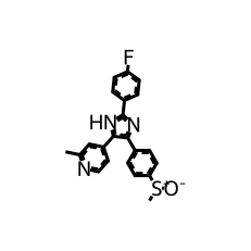 Cc1cc(-c2[nH]c(-c3ccc(F)cc3)nc2-c2ccc([S+](C)[O-])cc2)ccn1